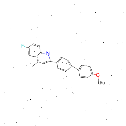 Cc1cc(-c2ccc(-c3ccc(OC(C)(C)C)cc3)cc2)nc2ccc(F)cc12